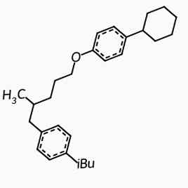 CCC(C)c1ccc(CC(C)CCCOc2ccc(C3CCCCC3)cc2)cc1